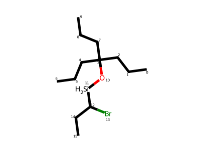 CCCC(CCC)(CCC)O[SiH2]C(Br)CC